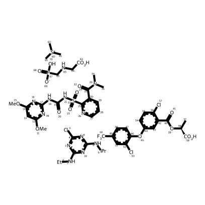 CCNc1nc(Cl)nc(NC(C)C)n1.COc1cc(OC)nc(NC(=O)NS(=O)(=O)c2ncccc2C(=O)N(C)C)n1.C[C@H](OC(=O)c1cc(Oc2ccc(C(F)(F)F)cc2Cl)ccc1Cl)C(=O)O.C[S+](C)C.O=C(O)CNCP(=O)([O-])O